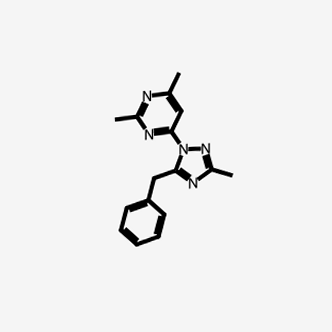 Cc1cc(-n2nc(C)nc2Cc2ccccc2)nc(C)n1